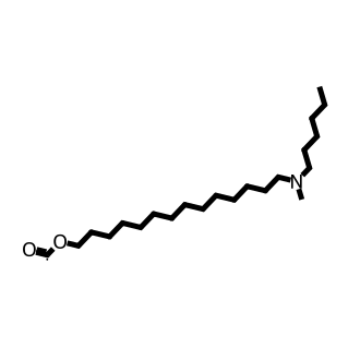 CCCCCCN(C)CCCCCCCCCCCCCCO[C]=O